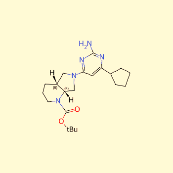 CC(C)(C)OC(=O)N1CCC[C@@H]2CN(c3cc(C4CCCC4)nc(N)n3)C[C@@H]21